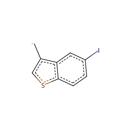 [CH2]c1csc2ccc(I)cc12